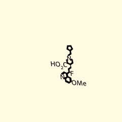 COc1ccc2nccc([C@@H](F)CC[C@@H]3CCN(CCC4CCCC4)C[C@@H]3C(=O)O)c2c1